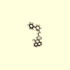 O=C1c2cccc3cccc(c23)C(=O)N1CCCCN1CCCC(c2ccccc2)C1